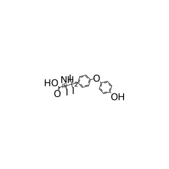 N[C@](I)(C(=O)O)C(I)(I)c1ccc(Oc2ccc(O)cc2)cc1